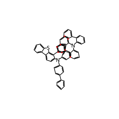 c1ccc(-c2ccc(N(c3cccc(-c4ccccc4N(c4ccccc4-c4ccccc4)c4ccccc4-c4ccccc4)c3)c3ccc4c(sc5ccccc54)c3-c3ccccc3)cc2)cc1